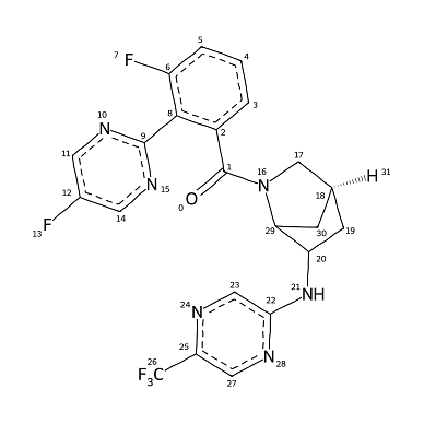 O=C(c1cccc(F)c1-c1ncc(F)cn1)N1C[C@H]2CC(Nc3cnc(C(F)(F)F)cn3)C1C2